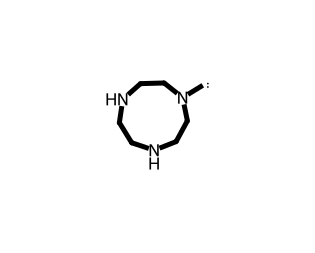 [CH]N1CCNCCNCC1